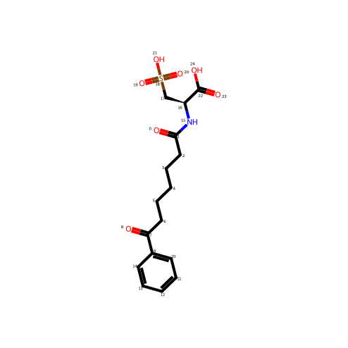 O=C(CCCCCC(=O)c1ccccc1)N[C@@H](CS(=O)(=O)O)C(=O)O